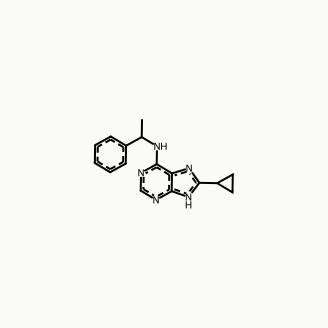 CC(Nc1ncnc2[nH]c(C3CC3)nc12)c1ccccc1